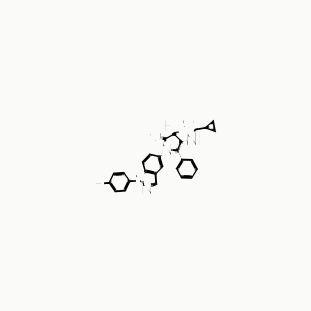 O=C(N[C@@H]1[C@@H](c2ccccc2)N(c2ccc3c(cnn3-c3ccc(F)cc3)c2)C(=O)C1(F)F)C1CC1